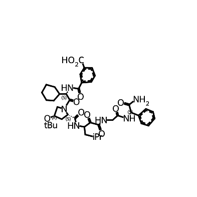 CC(C)CC(NC(=O)[C@@H]1C[C@@H](OC(C)(C)C)CN1C(=O)[C@@H](NC(=O)c1cccc(C(=O)O)c1)C1CCCCC1)C(=O)C(=O)NCC(=O)N[C@H](C(N)=O)c1ccccc1